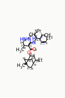 C/C=C(\C=C/CC)C(CC(C)C)NC1=C(C(=O)OC2CC(CC)C3CC[C@]4(C)CC24C3)C(C)CNN1C